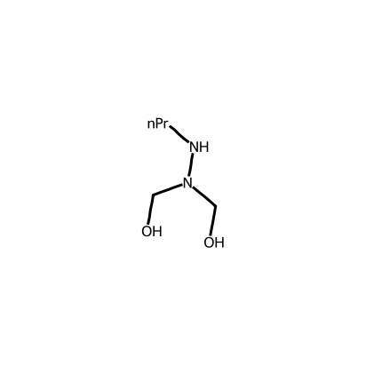 CCCNN(CO)CO